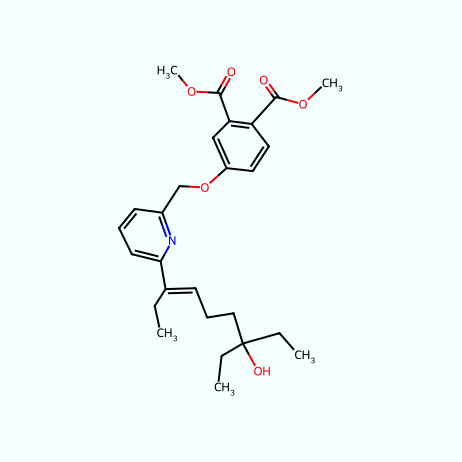 CCC(=CCCC(O)(CC)CC)c1cccc(COc2ccc(C(=O)OC)c(C(=O)OC)c2)n1